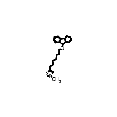 CN1C=C(CCCCCCCOC2c3ccccc3-c3ccccc32)SC1